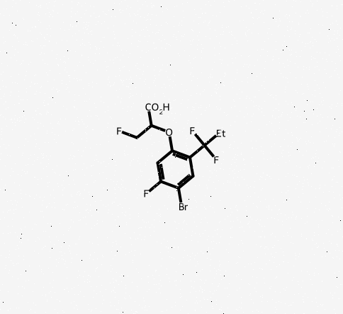 CCC(F)(F)c1cc(Br)c(F)cc1OC(CF)C(=O)O